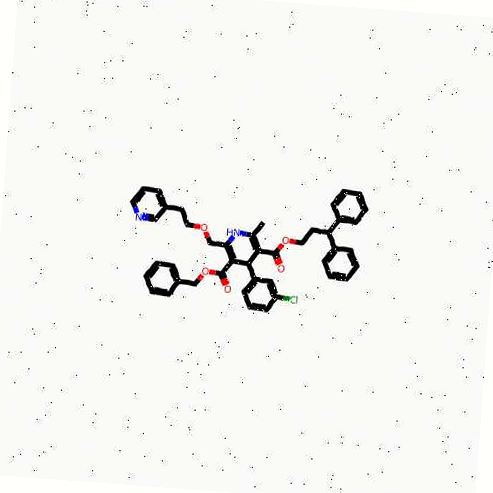 CC1=C(C(=O)OCCC(c2ccccc2)c2ccccc2)C(c2cccc(Cl)c2)C(C(=O)OCc2ccccc2)=C(COCCc2cccnc2)N1